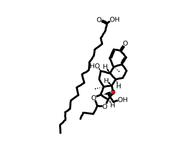 CCCC1O[C@@H]2C[C@H]3[C@@H]4CCC5=CC(=O)C=C[C@]5(C)[C@H]4[C@@H](O)C[C@]3(C)[C@]2(C(=O)CO)O1.CCCCCCCCCCCCCCCCCC(=O)O